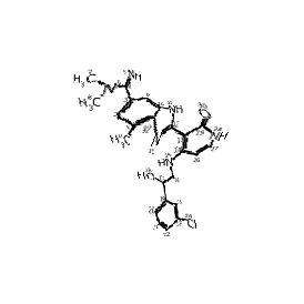 Cc1cc(C(=N)N(C)C)cc2[nH]c(-c3c(NCC(O)c4cccc(Cl)c4)cc[nH]c3=O)nc12